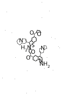 Nc1sc2ccc(C(=O)c3ccco3)cc2c1C1=CCN2CCCCC2C1.Nn1cc(C2=CCN3CCCC3C2)c2cc(C(=O)c3ccco3)ccc21